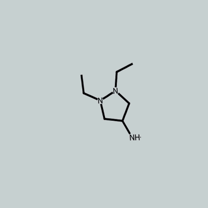 CCN1CC([NH])CN1CC